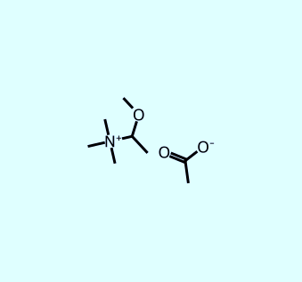 CC(=O)[O-].COC(C)[N+](C)(C)C